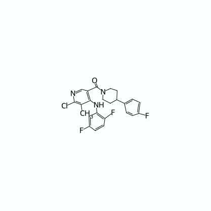 Cc1c(Cl)ncc(C(=O)N2CCC(c3ccc(F)cc3)CC2)c1Nc1cc(F)ccc1F